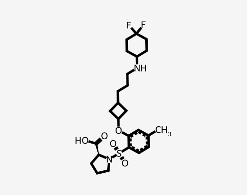 Cc1ccc(S(=O)(=O)N2CCC[C@H]2C(=O)O)c(OC2CC(CCCNC3CCC(F)(F)CC3)C2)c1